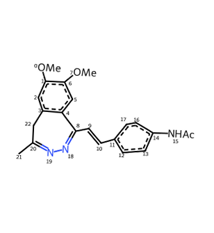 COc1cc2c(cc1OC)C(/C=C/c1ccc(NC(C)=O)cc1)=NN=C(C)C2